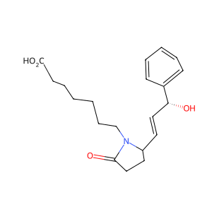 O=C(O)CCCCCCN1C(=O)CCC1/C=C/[C@@H](O)c1ccccc1